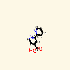 O=C(O)c1ccnc(-c2ccccn2)c1